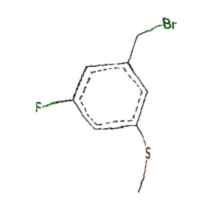 CSc1cc(F)cc(CBr)c1